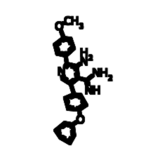 COc1ccc(-c2ncc(-c3ccc(Oc4ccccc4)cc3)c(C(=N)N)c2N)cc1